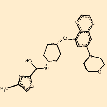 Cc1csc(C(O)N[C@H]2CC[C@@H](Oc3cc(N4CCOCC4)cc4nccnc34)CC2)n1